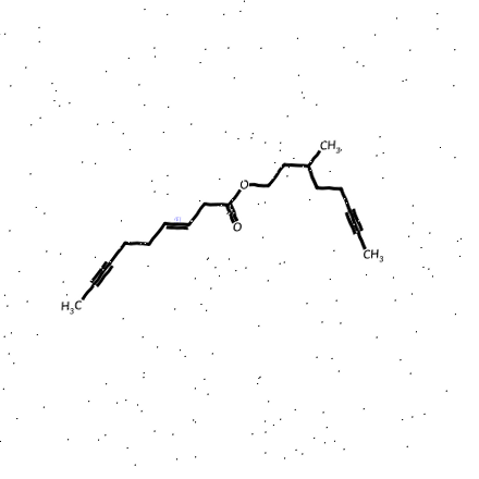 CC#CCC/C=C/CC(=O)OCCC(C)CCC#CC